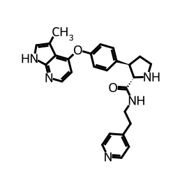 Cc1c[nH]c2nccc(Oc3ccc([C@H]4CCN[C@@H]4C(=O)NCCc4ccncc4)cc3)c12